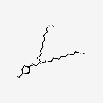 CCCCCCCCCCCCCCCCCCOC[C@H](COc1ccc(C(C)=O)cc1)OCCCCCCCCCCCCCCCCCC